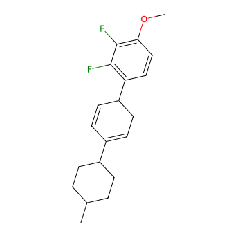 COc1ccc(C2C=CC(C3CCC(C)CC3)=CC2)c(F)c1F